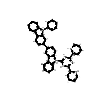 c1ccc(-n2c3ccccc3c3ccc(-c4ccc5c(c4)c4ccccc4n5-c4nc(-c5ccccn5)nc(-c5ccccn5)n4)cc32)cc1